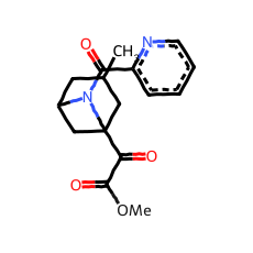 COC(=O)C(=O)C12CC(C)CC(C1)N2C(=O)c1ccccn1